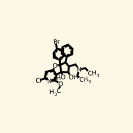 CCN(CC)CC1C(O)C2(O)c3c(cc(Cl)nc3OC)OC2(c2ccc(Br)cc2)C1c1ccccc1